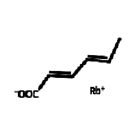 CC=CC=CC(=O)[O-].[Rb+]